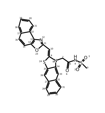 CS(=O)(=O)NC(=O)CN1/C(=C/c2nc3c(ccc4ccccc43)o2)Sc2cc3ccccc3cc21